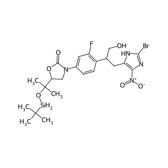 CC(C)(C)[SiH2]OC(C)(C)C1CN(c2ccc(C(CO)Cc3[nH]c(Br)nc3[N+](=O)[O-])c(F)c2)C(=O)O1